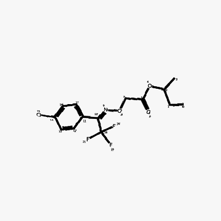 CCC(C)OC(=O)CON=C(c1ccc(Cl)cc1)C(F)(F)F